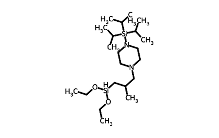 CCO[SiH](CC(C)CN1CCN([Si](C(C)C)(C(C)C)C(C)C)CC1)OCC